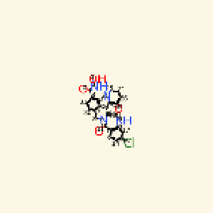 O=C(NO)c1ccc(CN2C(=O)c3ccc(Cl)cc3NC(=O)[C@H]2Cc2ccccn2)cc1